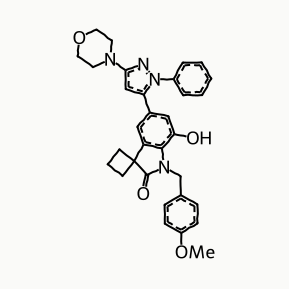 COc1ccc(CN2C(=O)C3(CCC3)c3cc(-c4cc(N5CCOCC5)nn4-c4ccccc4)cc(O)c32)cc1